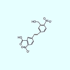 O=C(O)c1cc(/C=C/c2ccc([N+](=O)[O-])c(CO)c2)ccc1[N+](=O)[O-]